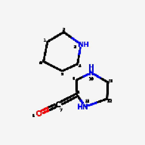 C1CCNCC1.O=C=C1CNCCN1